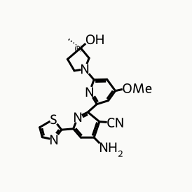 COc1cc(-c2nc(-c3nccs3)cc(N)c2C#N)nc(N2CC[C@@](C)(O)C2)c1